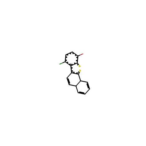 Clc1ccc(Br)c2sc3c(c12)C=CC1C=CC=CC31